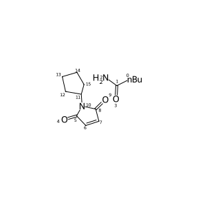 CCCCC(N)=O.O=C1C=CC(=O)N1C1CCCC1